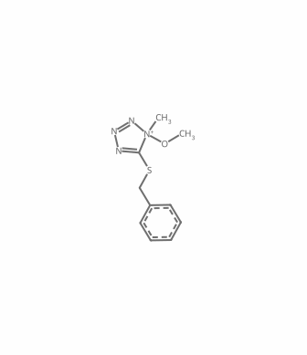 CO[N+]1(C)N=NN=C1SCc1ccccc1